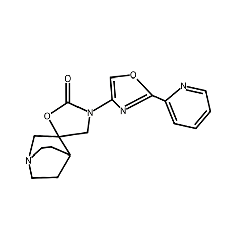 O=C1OC2(CN3CCC2CC3)CN1c1coc(-c2ccccn2)n1